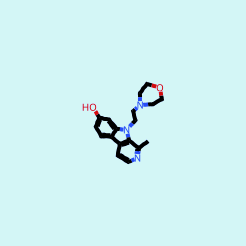 Cc1nccc2c3ccc(O)cc3n(CCN3CCOCC3)c12